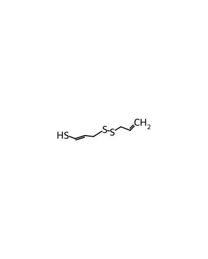 C=CCSSCC=CS